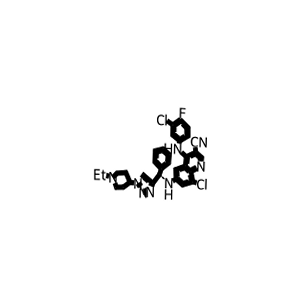 CCN1CCC(n2cc([C@@H](Nc3cc(Cl)c4ncc(C#N)c(Nc5ccc(F)c(Cl)c5)c4c3)c3ccccc3)nn2)CC1